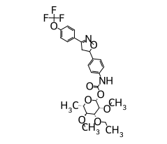 CCO[C@@H]1[C@@H](OC)[C@H](C)O[C@H](OC(=O)Nc2ccc(C3CC(c4ccc(OC(F)(F)F)cc4)=NO3)cc2)[C@@H]1OC